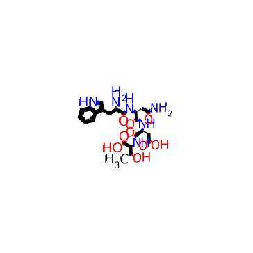 C[C@@H](O)[C@H](NC(=O)[C@H](CC(=O)O)NC(=O)[C@@H](CC(N)=O)NC(=O)[C@@H](N)Cc1c[nH]c2ccccc12)C(=O)O